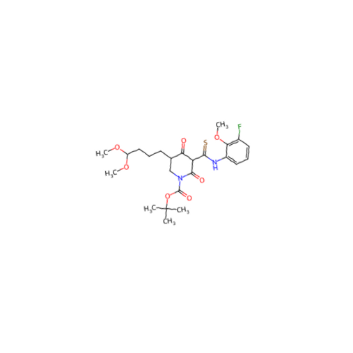 COc1c(F)cccc1NC(=S)C1C(=O)C(CCCC(OC)OC)CN(C(=O)OC(C)(C)C)C1=O